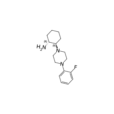 N[C@@H]1CCCC[C@H]1N1CCN(c2ccccc2F)CC1